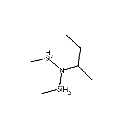 CCC(C)N([SiH2]C)[SiH2]C